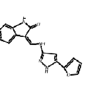 O=C1Nc2ccccc2C1=CNc1cc(-c2ccco2)[nH]n1